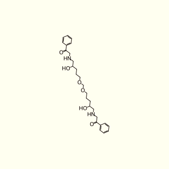 O=C(CNCC(O)CCCOCOCCCC(O)CNCC(=O)c1ccccc1)c1ccccc1